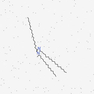 CCCCCCCCCCCCCCCCCc1cn(C(C)CCCCCCCCCCCCCC)c(CCCCCCCCCCCCCCCCC)n1